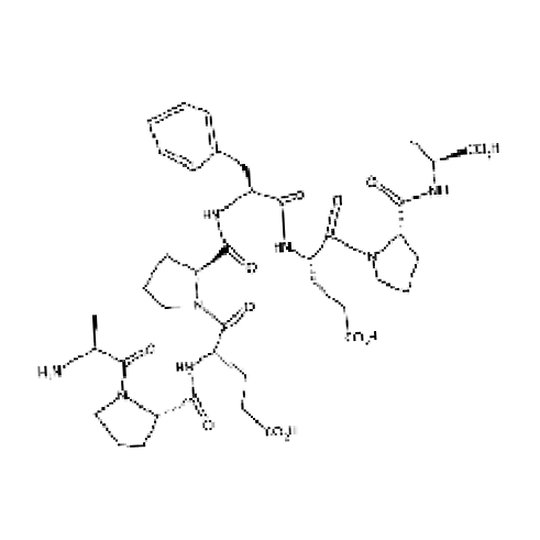 C[C@H](N)C(=O)N1CCC[C@H]1C(=O)N[C@@H](CCC(=O)O)C(=O)N1CCC[C@H]1C(=O)N[C@@H](Cc1ccccc1)C(=O)N[C@@H](CCC(=O)O)C(=O)N1CCC[C@H]1C(=O)N[C@@H](C)C(=O)O